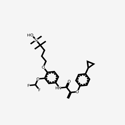 C=C(Oc1ccc(C2CC2)cc1)C(=O)Nc1ccc(OCCCC(C)(C)[Si](C)(C)O)c(OC(F)F)c1